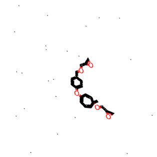 CC1(OCC2CO2)C=CC=C(OC2=CCC(COCC3CO3)C=C2)C=C1